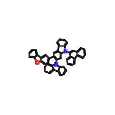 c1ccc2c(c1)cc(-n1c3ccccc3c3cc(-c4ccc5oc6ccccc6c5c4)c(-n4c5ccccc5c5ccccc54)cc31)c1ccccc12